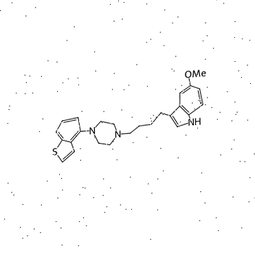 COc1ccc2[nH]cc(CCCCN3CCN(c4cccc5sccc45)CC3)c2c1